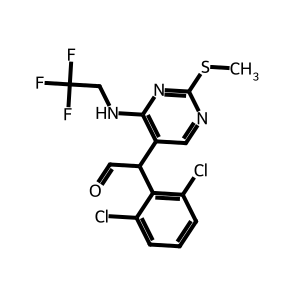 CSc1ncc(C(C=O)c2c(Cl)cccc2Cl)c(NCC(F)(F)F)n1